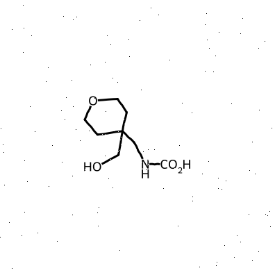 O=C(O)NCC1(CO)CCOCC1